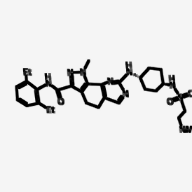 CCc1cccc(CC)c1NC(=O)c1nn(C)c2c1CCc1cnc(N[C@H]3CC[C@H](NS(=O)(=O)CCNC)CC3)nc1-2